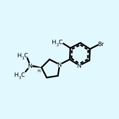 Cc1cc(Br)cnc1N1CC[C@@H](N(C)C)C1